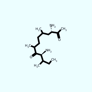 CCC(C)[C@H](N)C(=O)C(C)CCC(C)C[C@H](N)C(C)=O